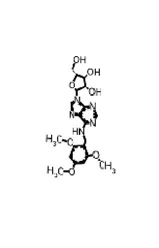 COc1cc(OC)c(CNc2ncnc3c2ncn3C2O[C@H](CO)[C@@H](O)[C@H]2O)c(OC)c1